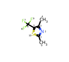 Cc1nc(C)c(C(F)(F)F)s1